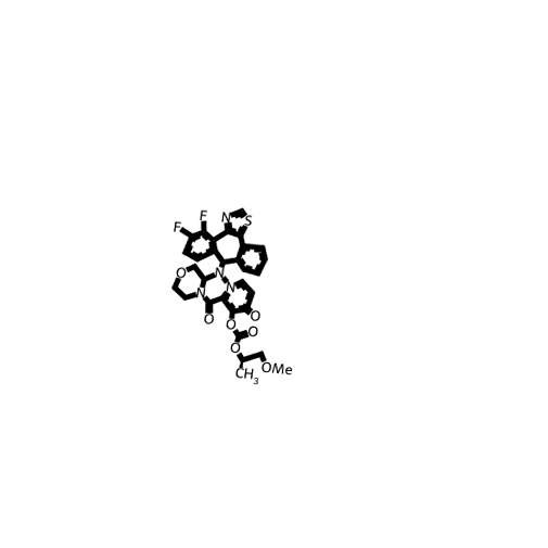 COC[C@@H](C)OC(=O)Oc1c2n(ccc1=O)N(C1c3ccccc3-c3scnc3-c3c1ccc(F)c3F)C1COCCN1C2=O